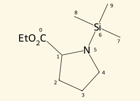 CCOC(=O)C1CCCN1[Si](C)(C)C